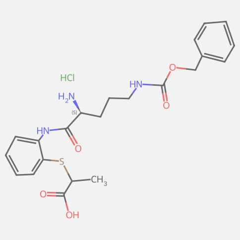 CC(Sc1ccccc1NC(=O)[C@@H](N)CCCNC(=O)OCc1ccccc1)C(=O)O.Cl